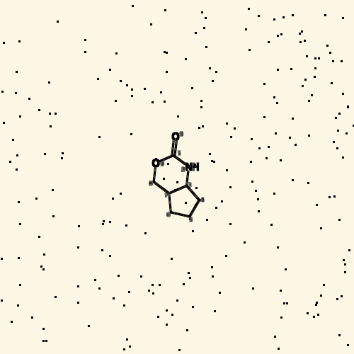 O=C1NC2CCCC2CO1